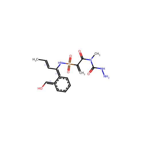 C=C(C(=O)N(C)C(=O)NN)S(=O)(=O)NC(/C=C/C)=c1\cccc\c1=C/O